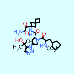 CC(C)(O)c1cnnn1[C@H]1C[C@@H](C(=O)NC2(C(=O)C(N)=O)CC3(CCC3)C2)N(C(=O)C(CC2CCCCC2)NC(=O)O)C1